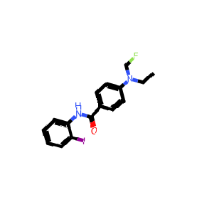 CCN(CF)c1ccc(C(=O)Nc2ccccc2I)cc1